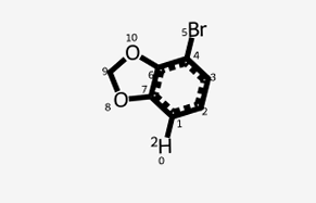 [2H]c1ccc(Br)c2c1OCO2